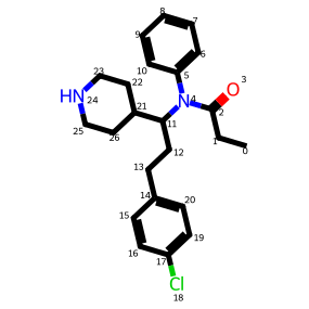 CCC(=O)N(c1ccccc1)C(CCc1ccc(Cl)cc1)C1CCNCC1